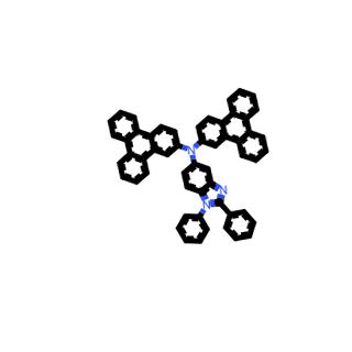 c1ccc(-c2nc3cc(N(c4ccc5c6ccccc6c6ccccc6c5c4)c4ccc5c6ccccc6c6ccccc6c5c4)ccc3n2-c2ccccc2)cc1